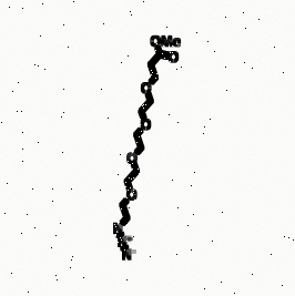 COC(=O)CCOCCOCCOCCOCCN=[N+]=[N-]